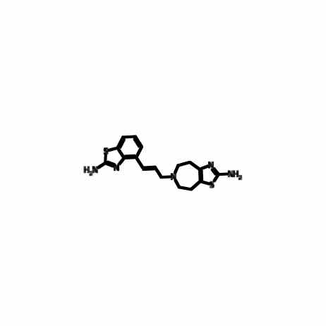 Nc1nc2c(s1)CCN(C/C=C/c1cccc3sc(N)nc13)CC2